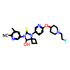 Cc1cc(N2C(=S)N(c3ccc(OC4CCN(CCF)CC4)nc3)C3(CCC3)C2O)cnc1C#N